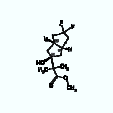 COC(=O)C(C)(C)[C@@]1(O)C[C@H]2CC(F)(F)C[C@H]2C1